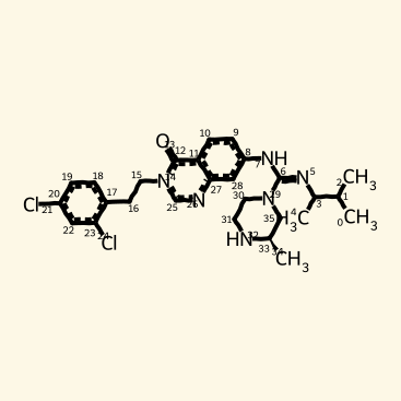 CC(C)C(C)/N=C(/Nc1ccc2c(=O)n(CCc3ccc(Cl)cc3Cl)cnc2c1)N1CCN[C@H](C)C1